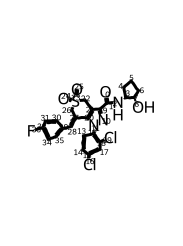 O=C(N[C@@H]1CCC[C@H]1O)c1nn(-c2ccc(Cl)cc2Cl)c2c1CS(=O)(=O)C/C2=C\c1ccc(F)cc1